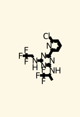 CC(Nc1nc(NCC(F)(F)F)nc(-c2cccc(Cl)n2)n1)C(F)(F)F